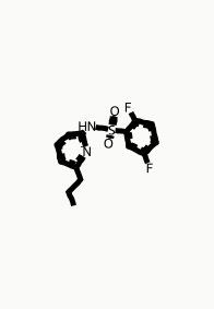 CCCc1cccc(NS(=O)(=O)c2cc(F)ccc2F)n1